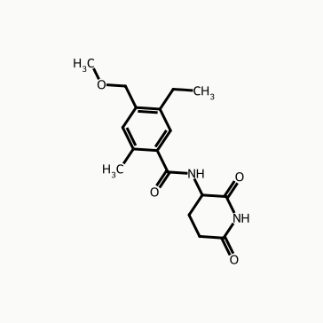 CCc1cc(C(=O)NC2CCC(=O)NC2=O)c(C)cc1COC